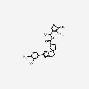 Cc1c(C(C)NC(=O)N2CCC3(CCn4nc(-c5cnc(N)c(C(F)(F)F)c5)cc43)C2)cnn1C